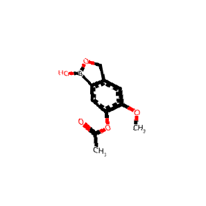 COc1cc2c(cc1OC(C)=O)B(O)OC2